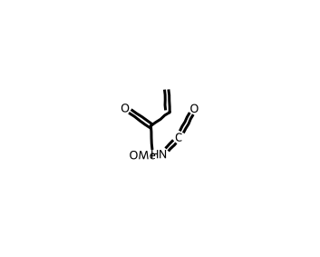 C=CC(=O)OC.N=C=O